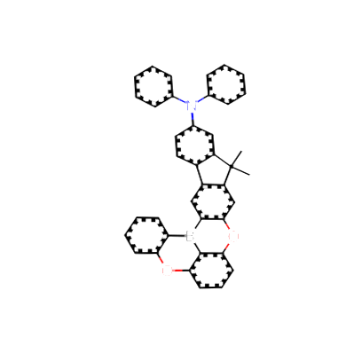 CC1(C)c2cc(N(c3ccccc3)c3ccccc3)ccc2-c2cc3c(cc21)Oc1cccc2c1B3c1ccccc1O2